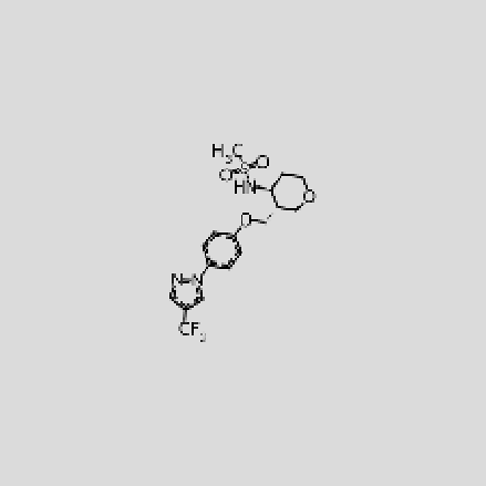 CS(=O)(=O)N[C@H]1CCOC[C@@H]1COc1ccc(-n2cc(C(F)(F)F)cn2)cc1